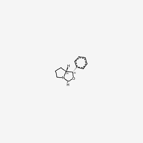 c1ccc([C@@H]2OPN3CCC[C@H]23)cc1